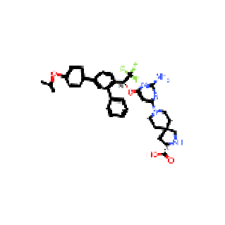 CC(C)Oc1ccc(-c2ccc([C@@H](Oc3cc(N4CCC5(CC4)CN[C@H](C(=O)O)C5)nc(N)n3)C(F)(F)F)c(-c3ccccc3)c2)cc1